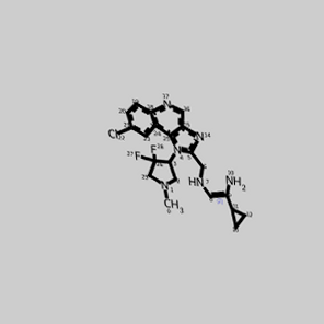 CN1CC(n2c(CN/C=C(\N)C3CC3)nc3cnc4ccc(Cl)cc4c32)C(F)(F)C1